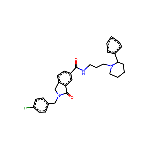 O=C(NCCCN1CCCCC1c1ccccc1)c1ccc2c(c1)C(=O)N(Cc1ccc(F)cc1)C2